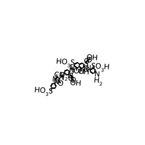 Nc1ccc(/N=N/c2c(SOOO)cc3cc(S(=O)(=O)O)c(/N=N/c4ccc(/N=N/C5C(=O)N(c6ccc(S(=O)(=O)O)cc6)N=C5C(=O)O)cc4SOOO)c(O)c3c2O)c(S(=O)(=O)O)c1